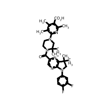 Cc1nc(N2CCN(C(=O)c3cnc4c(n3)C(C)(C)CN4c3ccc(F)c(F)c3)C(C)(C)C2)c(C)c(C)c1C(=O)O